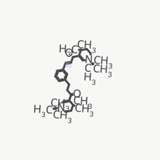 CC1(C)CCN(C(C)(C)C)C=C1C(=O)/C=C/c1cccc(CCC(=O)C2=CN(C(C)(C)C)CCC2(C)C)c1